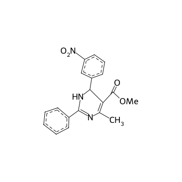 COC(=O)C1=C(C)N=C(c2ccccc2)NC1c1cccc([N+](=O)[O-])c1